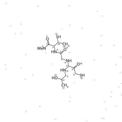 CNC(=O)C(NC(=O)CNC(NCC(C)O)C(=O)CS)C(C)S